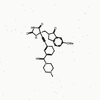 COc1ccc2c(c1)C(=O)N(C[C@@]1(C#CC3=CC(C(=N)N4CCN(C)CC4)=CCC3)NC(=O)NC1=O)C2